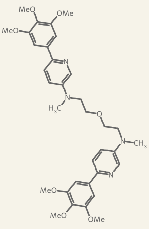 COc1cc(-c2ccc(N(C)CCOCCN(C)c3ccc(-c4cc(OC)c(OC)c(OC)c4)nc3)cn2)cc(OC)c1OC